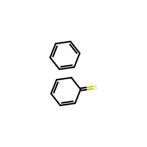 S=C1C=CC=CC1.c1ccccc1